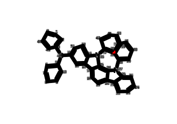 c1ccc(B(c2ccccc2)c2ccc3c(c2)c2ccc4c5ccccc5n(-c5ccccc5)c4c2n3-c2ccccc2)cc1